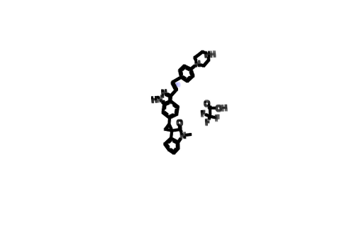 CN1C(=O)C2(CC2c2ccc3c(/C=C/c4ccc(N5CCNCC5)cc4)n[nH]c3c2)c2ccccc21.O=C(O)C(F)(F)F